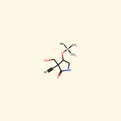 C#CC1(CO)C(=O)NCC1O[Si](C)(C)C(C)(C)C